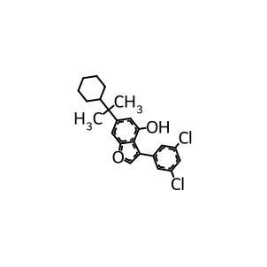 CC(C)(c1cc(O)c2c(-c3cc(Cl)cc(Cl)c3)coc2c1)C1CCCCC1